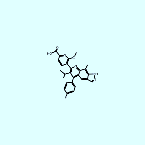 COc1nc(C(=O)O)ccc1-c1nc2c(C)c3[nH]ncc3cc2c(-c2ccc(F)cc2)c1C(C)C